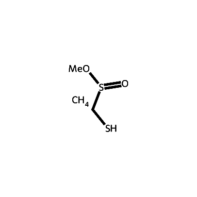 C.COS(=O)CS